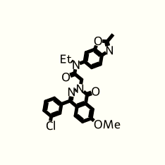 CCN(C(=O)Cn1nc(-c2cccc(Cl)c2)c2ccc(OC)cc2c1=O)c1ccc2nc(C)oc2c1